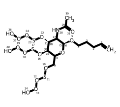 C=CCCCO[C@H]1OC(COSOOO)[C@@H](OSOOO)[C@H](OSOOO)C1NC(C)=O